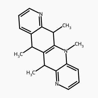 CC1C2=C(C(C)c3ncccc31)N(C)c1cccnc1C2C